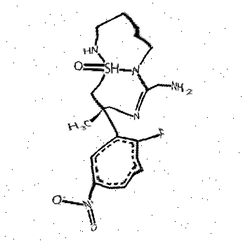 C[C@@]1(c2cc([N+](=O)[O-])ccc2F)C[SH]2(=O)NCCCCN2C(N)=N1